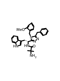 COc1ccccc1Cn1c(Cc2ccccc2)nnc1[C@@H](Cc1c[nH]c2ccccc12)NC(=O)C(C)(C)N